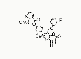 COc1cc(OC(=O)c2cccnc2OC)ccc1-c1ccc2c(c1COc1cc(F)ccc1C)N(C)C(=O)C(C)(C)N2